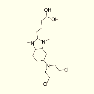 CN1C2CCC(N(CCCl)CCCl)CC2N(C)C1CCCC(O)O